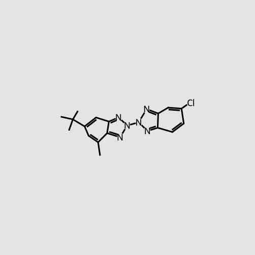 Cc1cc(C(C)(C)C)cc2nn(-n3nc4ccc(Cl)cc4n3)nc12